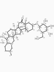 C[C@H]1CC[C@@H]2N(C1)C[C@H]1[C@@H]3C[C@H]4[C@@H](CC(=O)[C@@H]5C[C@@H](O[C@@H]6O[C@H](CO)[C@@H](O)[C@H](O)[C@H]6O)CC[C@@]54C)[C@@H]3CC[C@@H]1[C@]2(C)O